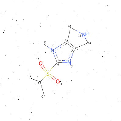 CC(C)S(=O)(=O)c1nc2c(n1C)CNC2